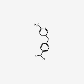 Cc1ccc(Sc2ccc(C(=O)Cl)cc2)cc1